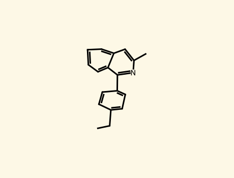 CCc1ccc(-c2nc(C)cc3ccccc23)cc1